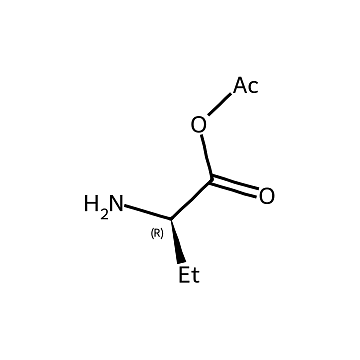 CC[C@@H](N)C(=O)OC(C)=O